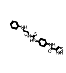 O=C(Nc1ccc(NC(=S)NCCNc2ccccc2)cc1)c1csnn1